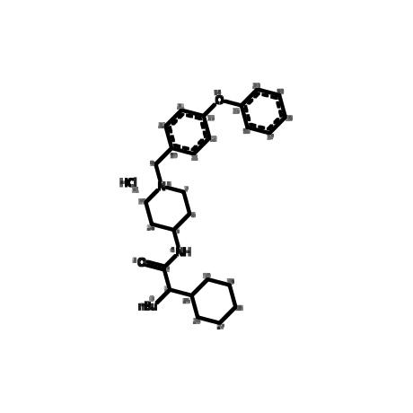 CCCCC(C(=O)NC1CCN(Cc2ccc(Oc3ccccc3)cc2)CC1)C1CCCCC1.Cl